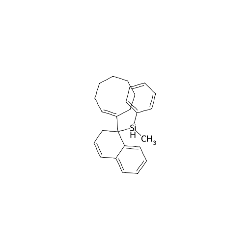 C[SiH](c1ccccc1)C1(C2=CCCCCCC2)CC=Cc2ccccc21